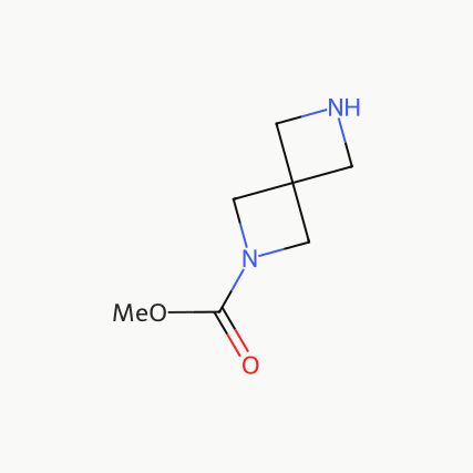 COC(=O)N1CC2(CNC2)C1